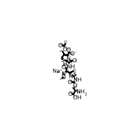 CO/N=C(/C(=O)N[C@@H]1C(=O)N2C(C(=O)[O-])=C(COC(C)=O)CS[C@H]12)c1csc(NC(=O)OC[C@@H](N)C(=O)O)n1.[Na+]